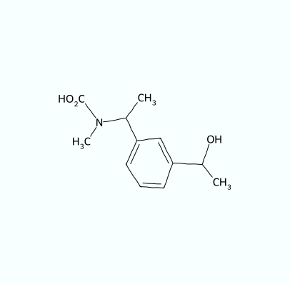 CC(O)c1cccc(C(C)N(C)C(=O)O)c1